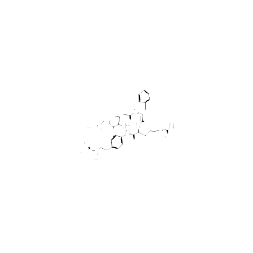 CC(C)(C)OC(=O)NCCc1ccc(NC(=O)C(CCCNC(N)=O)NC(=O)[C@@H](Cc2ccccc2)NC(=O)C[C@@H]2O[C@H](CN)C(O)C2O)cc1